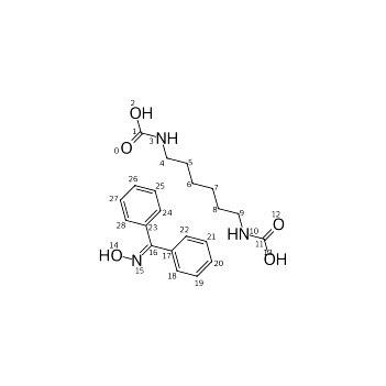 O=C(O)NCCCCCCNC(=O)O.ON=C(c1ccccc1)c1ccccc1